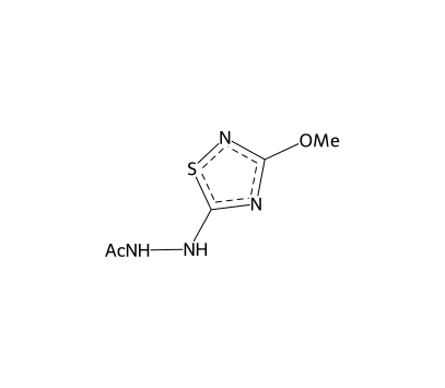 COc1nsc(NNC(C)=O)n1